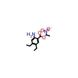 CCc1cc(N)c(C(=O)OC(C)[N+](=O)[O-])cc1CC